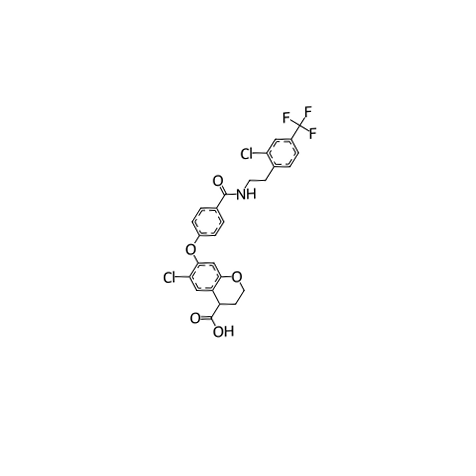 O=C(NCCc1ccc(C(F)(F)F)cc1Cl)c1ccc(Oc2cc3c(cc2Cl)C(C(=O)O)CCO3)cc1